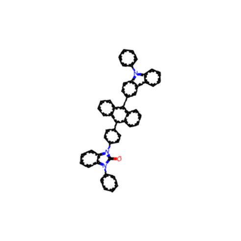 O=c1n(-c2ccccc2)c2ccccc2n1-c1ccc(-c2c3ccccc3c(-c3ccc4c(c3)c3ccccc3n4-c3ccccc3)c3ccccc23)cc1